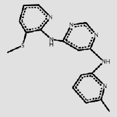 CSc1cccnc1Nc1cc(Nc2cccc(C)n2)ncn1